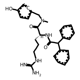 CN(Cc1ccc(O)cc1)C(=O)[C@@H](CCCNC(=N)N)NC(=O)C(c1ccccc1)c1ccccc1